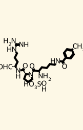 Cc1ccc(C(=O)NCCCC[C@@H](N)C(=O)N2CCC[C@H]2C(=O)N[C@H](C=O)CCCNC(=N)N)cc1.O=S(=O)(O)O